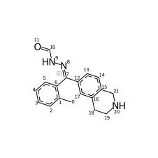 Cc1ccccc1/C(=N\NC=O)c1ccc2c(c1)CCNC2